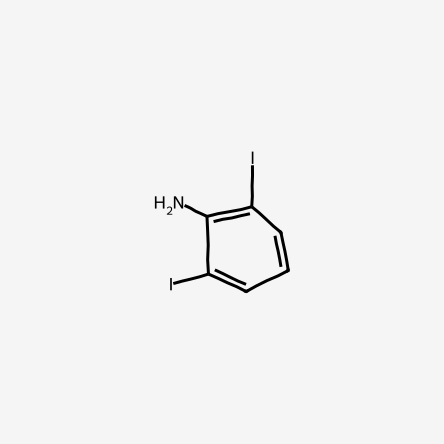 Nc1c(I)cccc1I